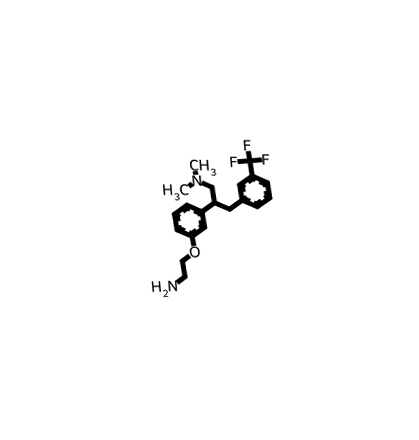 CN(C)CC(Cc1cccc(C(F)(F)F)c1)c1cccc(OCCN)c1